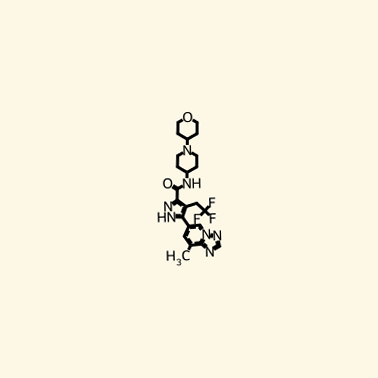 Cc1cc(-c2[nH]nc(C(=O)NC3CCN(C4CCOCC4)CC3)c2CC(F)(F)F)cn2ncnc12